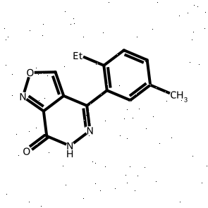 CCc1ccc(C)cc1-c1n[nH]c(=O)c2nocc12